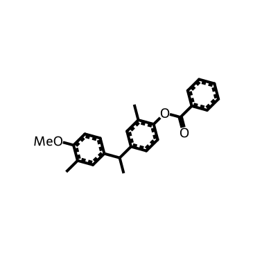 COc1ccc(C(C)c2ccc(OC(=O)c3ccccc3)c(C)c2)cc1C